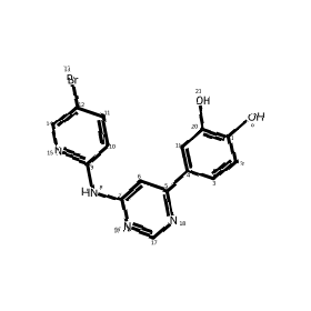 Oc1ccc(-c2cc(Nc3ccc(Br)cn3)ncn2)cc1O